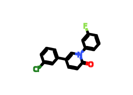 O=c1ccc(-c2cccc(Cl)c2)cn1-c1cccc(F)c1